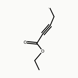 [CH2]CC#CC(=O)OCC